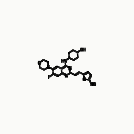 O=Nc1ccc(/C=C/c2nc(NC3CCC(O)CC3)c3cc(N4CCOCC4)c(F)cc3n2)o1